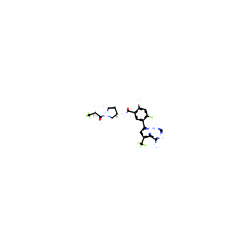 Cc1cc(F)c(-c2cc(C(F)(F)F)c3c(N)ncnn23)cc1C(=O)N[C@@H]1CN(C(=O)[C@@H](O)C(F)(F)F)C[C@@H]1F